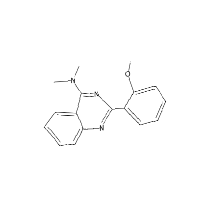 COc1ccccc1-c1nc(N(C)C)c2ccccc2n1